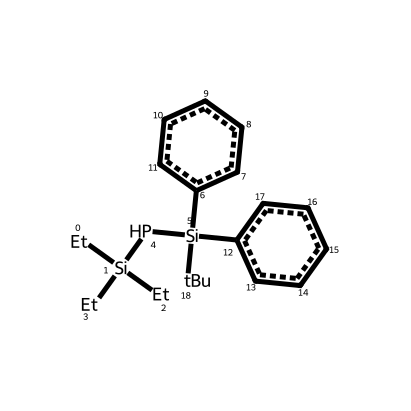 CC[Si](CC)(CC)P[Si](c1ccccc1)(c1ccccc1)C(C)(C)C